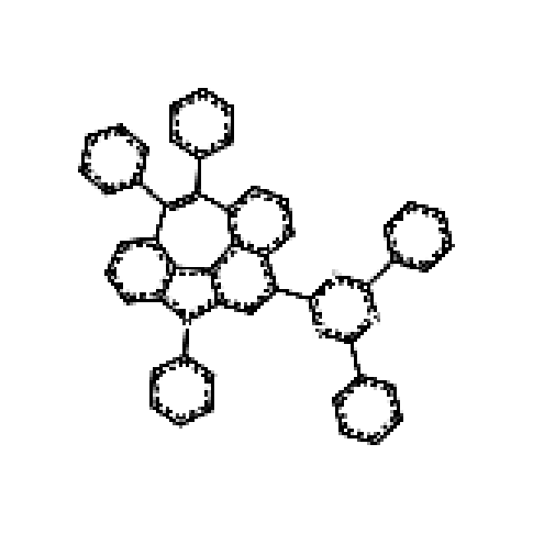 c1ccc(C2=C(c3ccccc3)c3cccc4c3c3c5c2cccc5c(-c2nc(-c5ccccc5)nc(-c5ccccc5)n2)cc3n4-c2ccccc2)cc1